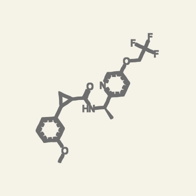 COc1cccc(C2CC2C(=O)N[C@H](C)c2ccc(OCC(F)(F)F)cn2)c1